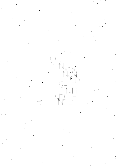 C=C1CCC(n2cc(NC(=O)c3cnn4ccc(N5CC6CC5CO6)nc34)c(C(F)F)n2)CC1